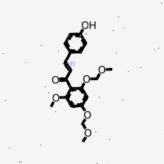 COCOc1cc(OC)c(C(=O)/C=C/c2ccc(O)cc2)c(OCOC)c1